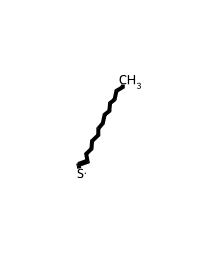 CCCCCCCCCCCCC/C=C/[S]